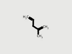 C=[C]CC(=C)C